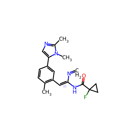 C=N/C(=C\c1cc(-c2cnc(C)n2C)ccc1C)NC(=O)C1(F)CC1